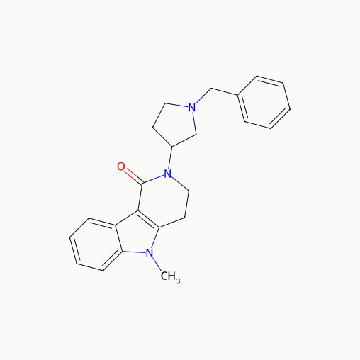 Cn1c2c(c3ccccc31)C(=O)N(C1CCN(Cc3ccccc3)C1)CC2